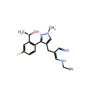 CC(C)CN/C=C(\C=N)Cc1cn(C)nc1-c1ccc(F)cc1[C@@H](C)O